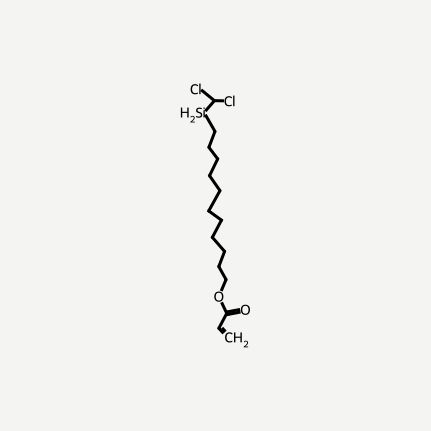 C=CC(=O)OCCCCCCCCCCC[SiH2]C(Cl)Cl